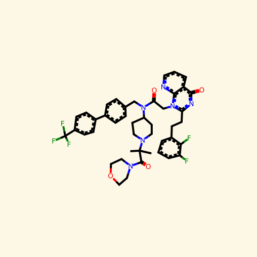 CC(C)(C(=O)N1CCOCC1)N1CCC(N(Cc2ccc(-c3ccc(C(F)(F)F)cc3)cc2)C(=O)Cn2c(CCc3cccc(F)c3F)nc(=O)c3cccnc32)CC1